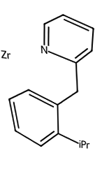 CC(C)c1ccccc1Cc1ccccn1.[Zr]